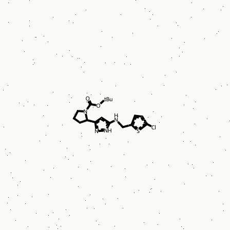 CC(C)(C)OC(=O)N1CCCC1c1cc(NCc2ccc(Cl)s2)[nH]n1